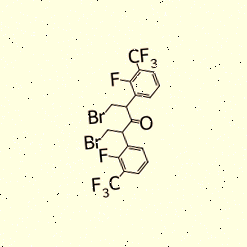 O=C(C(CBr)c1cccc(C(F)(F)F)c1F)C(CBr)c1cccc(C(F)(F)F)c1F